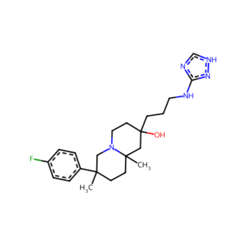 CC1(c2ccc(F)cc2)CCC2(C)CC(O)(CCCNc3nc[nH]n3)CCN2C1